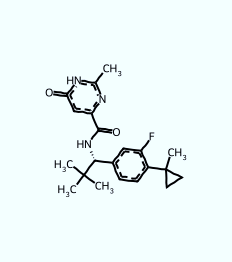 Cc1nc(C(=O)N[C@H](c2ccc(C3(C)CC3)c(F)c2)C(C)(C)C)cc(=O)[nH]1